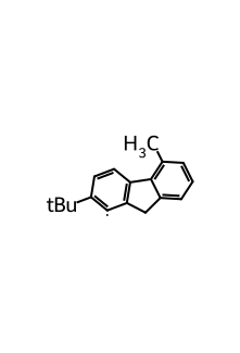 Cc1cccc2c1-c1ccc(C(C)(C)C)[c]c1C2